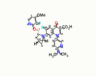 COc1ccnc(OC[C@H]2C[C@H]3C[C@H]3N2c2cc3c(cc2F)c(=O)c(C(=O)O)cn3-c2ccc(N(C)C)nc2)c1F